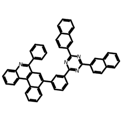 c1ccc(-c2nc3ccccc3c3c2cc(-c2cccc(-c4nc(-c5ccc6ccccc6c5)nc(-c5ccc6ccccc6c5)n4)c2)c2ccccc23)cc1